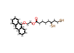 O=C(CCCCC(S)CCS)OCCOc1c2ccccc2cc2ccccc12